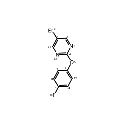 CCc1cnc(Oc2ccc(F)cc2)nc1